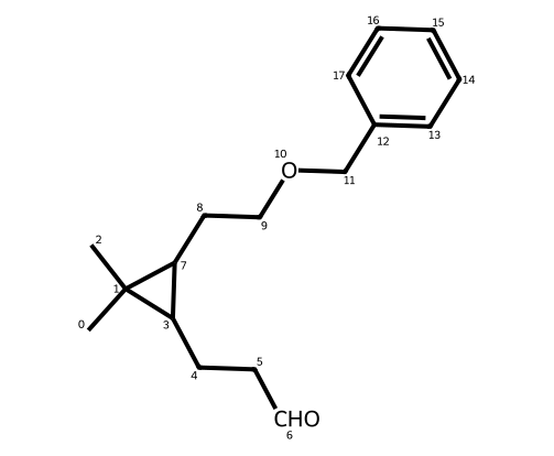 CC1(C)C(CCC=O)C1CCOCc1ccccc1